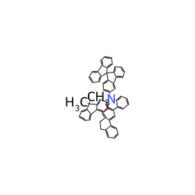 CC1(C)c2ccccc2-c2ccc(N(c3ccc4c(c3)-c3ccccc3C43c4ccccc4-c4ccccc43)c3ccccc3-c3ccc4c(c3)-c3ccccc3CC4)cc21